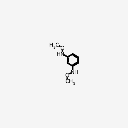 CONc1cccc(NOC)c1